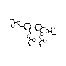 C=CC(=O)COc1cc(-c2ccc(COC(=O)C=C)cc2COC(=O)C=C)ccc1COC(=O)C=C